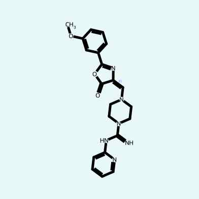 COc1cccc(C2=N/C(=C/N3CCN(C(=N)Nc4ccccn4)CC3)C(=O)O2)c1